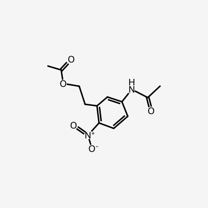 CC(=O)Nc1ccc([N+](=O)[O-])c(CCOC(C)=O)c1